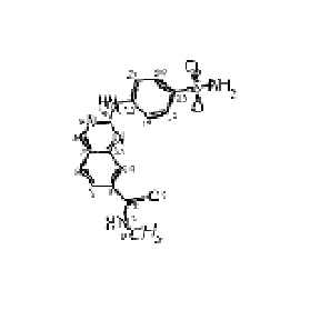 CNC(=O)c1ccc2cnc(Nc3ccc(S(N)(=O)=O)cc3)nc2c1